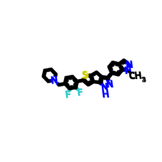 Cn1ncc2ccc(-c3n[nH]c4c3Cc3sc(-c5ccc(CN6CCCCC6)c(F)c5F)cc3-4)cc21